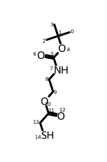 CC(C)(C)OC(=O)NCCOC(=O)CS